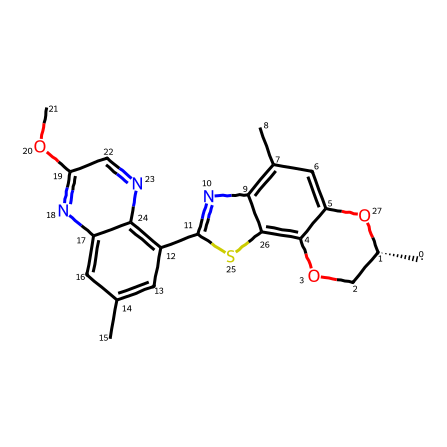 [CH2][C@@H]1COc2c(cc(C)c3nc(-c4cc(C)cc5nc(OC)cnc45)sc23)O1